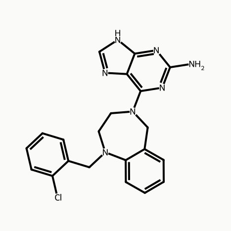 Nc1nc(N2CCN(Cc3ccccc3Cl)c3ccccc3C2)c2nc[nH]c2n1